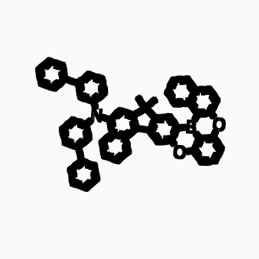 CC1(C)c2cc3c(cc2-c2c1cc(N(c1cccc(-c4ccccc4)c1)c1cccc(-c4ccccc4)c1)c1ccccc21)Oc1cccc2c1B3c1c(ccc3ccccc13)O2